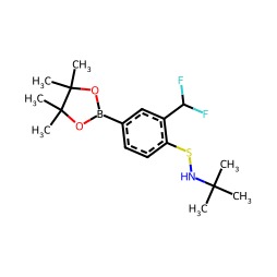 CC(C)(C)NSc1ccc(B2OC(C)(C)C(C)(C)O2)cc1C(F)F